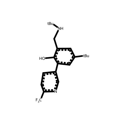 CC(C)(C)NCc1cc(C(C)(C)C)cc(-c2ccc(C(F)(F)F)nc2)c1O